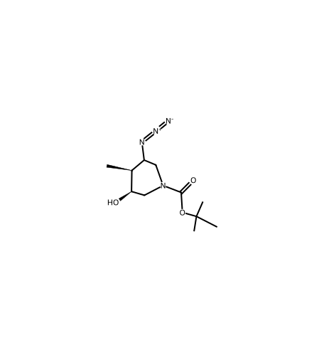 C[C@H]1C(N=[N+]=[N-])CN(C(=O)OC(C)(C)C)C[C@H]1O